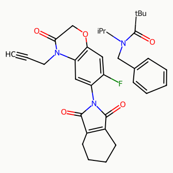 C#CCN1C(=O)COc2cc(F)c(N3C(=O)C4=C(CCCC4)C3=O)cc21.CC(C)N(Cc1ccccc1)C(=O)C(C)(C)C